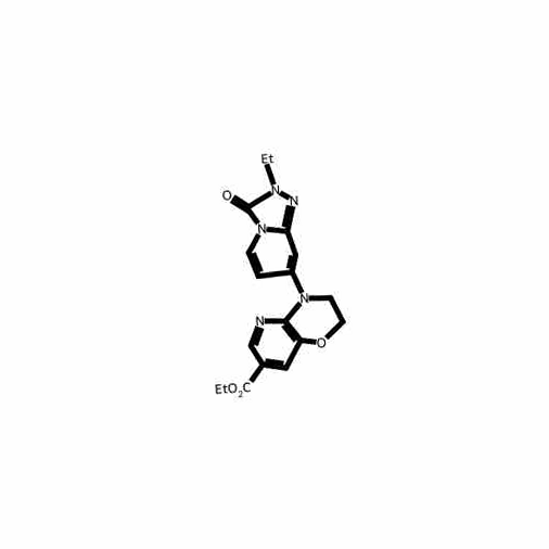 CCOC(=O)c1cnc2c(c1)OCCN2c1ccn2c(=O)n(CC)nc2c1